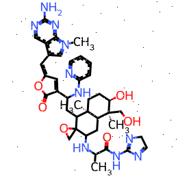 CC(NC1CC2[C@](C)(CC[C@@H](O)[C@@]2(C)CO)C(CC(Nc2ccccn2)C2=C/C(=C\c3cn(C)c4nc(N)ncc34)OC2=O)C12CO2)C(=O)NC1=NCC=N1